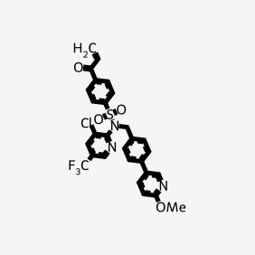 C=CC(=O)c1ccc(S(=O)(=O)N(Cc2ccc(-c3ccc(OC)nc3)cc2)c2ncc(C(F)(F)F)cc2Cl)cc1